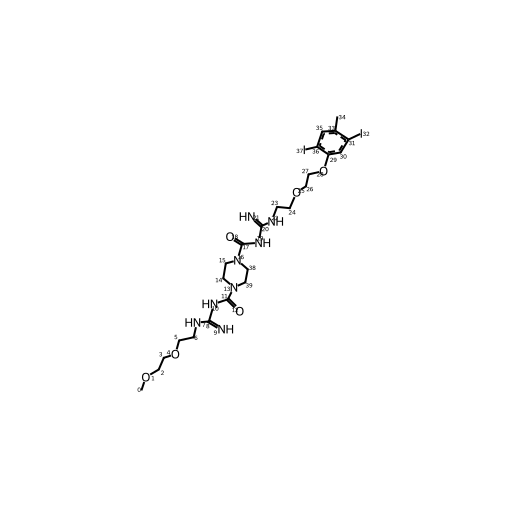 COCCOCCNC(=N)NC(=O)N1CCN(C(=O)NC(=N)NCCOCCOc2cc(I)c(C)cc2I)CC1